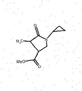 COC(=O)C1CN(C2CC2)C(=O)C1C